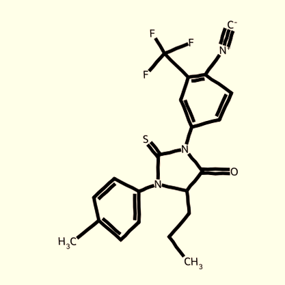 [C-]#[N+]c1ccc(N2C(=O)C(CCC)N(c3ccc(C)cc3)C2=S)cc1C(F)(F)F